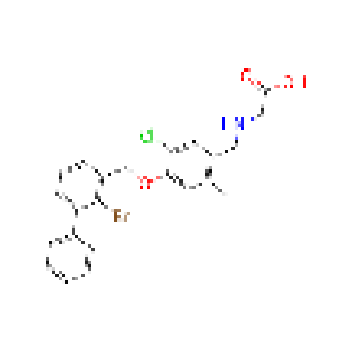 Cc1cc(OCc2cccc(-c3ccccc3)c2Br)c(Cl)cc1CNCC(=O)O